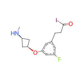 CN[C@H]1C[C@@H](Oc2cc(F)cc(CCC(=O)I)c2)C1